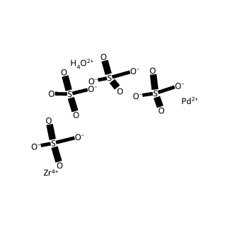 O=S(=O)([O-])[O-].O=S(=O)([O-])[O-].O=S(=O)([O-])[O-].O=S(=O)([O-])[O-].[OH4+2].[Pd+2].[Zr+4]